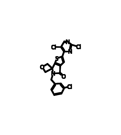 O=C1c2cc(-c3nc(Cl)ncc3Cl)sc2C2(COC2)N1Cc1cccc(Cl)c1